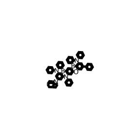 c1ccc(-c2cc3c4c(c2)N(c2ccccc2)c2ccccc2B4c2cc4c(cc2O3)N(c2ccccc2)c2cc(N3C5CC6CC(C5)CC3C6)cc3c2B4c2ccccc2N3c2ccccc2)cc1